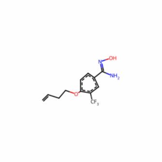 C=CCCOc1ccc(/C(N)=N/O)cc1C(F)(F)F